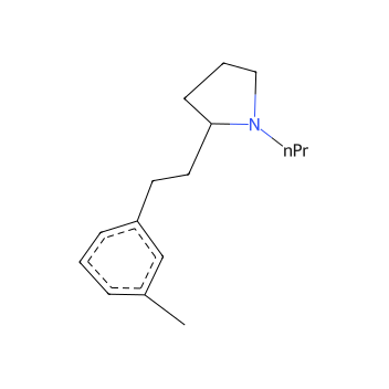 CCCN1CCCC1CCc1cccc(C)c1